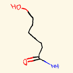 [NH]C(=O)CCCO